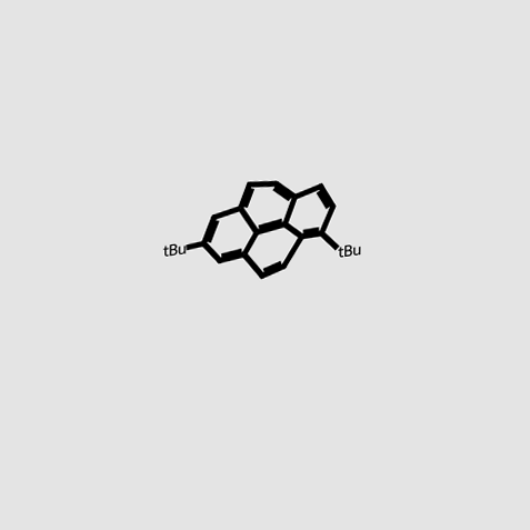 CC(C)(C)c1cc2ccc3ccc(C(C)(C)C)c4ccc(c1)c2c34